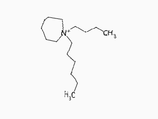 CCCCCC[N+]1(CCCC)CCCCC1